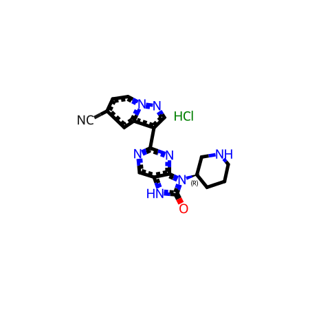 Cl.N#Cc1ccn2ncc(-c3ncc4[nH]c(=O)n([C@@H]5CCCNC5)c4n3)c2c1